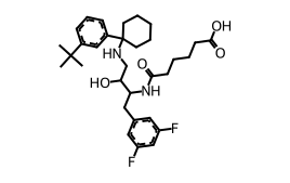 CC(C)(C)c1cccc(C2(NCC(O)C(Cc3cc(F)cc(F)c3)NC(=O)CCCCC(=O)O)CCCCC2)c1